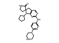 O=C1NCCC12Cc1cnc(Nc3ccc(N4CCNCC4)nc3)nc1N2C1CCCC1